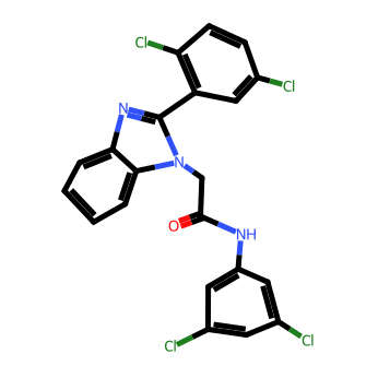 O=C(Cn1c(-c2cc(Cl)ccc2Cl)nc2ccccc21)Nc1cc(Cl)cc(Cl)c1